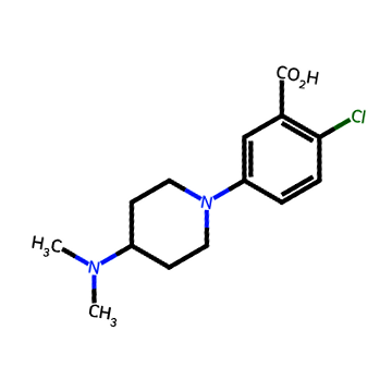 CN(C)C1CCN(c2ccc(Cl)c(C(=O)O)c2)CC1